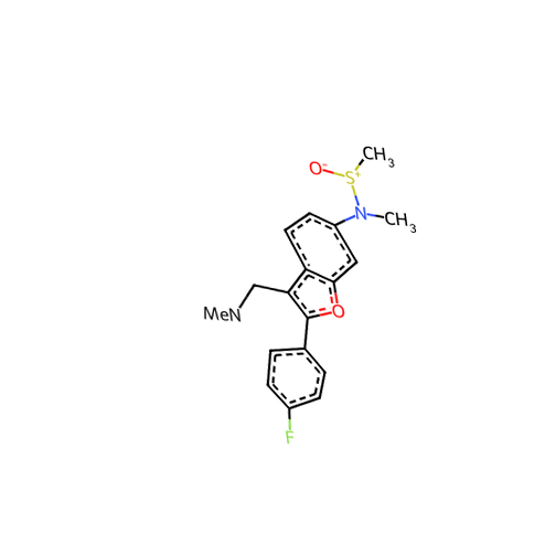 CNCc1c(-c2ccc(F)cc2)oc2cc(N(C)[S+](C)[O-])ccc12